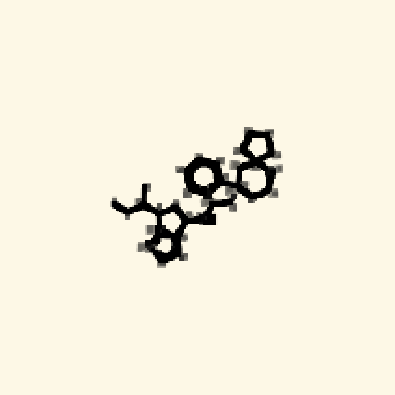 CCC(C)C1CC(NCC[C@@]2(c3ccccn3)CCOC3(CCCC3)C2)c2ccnn21